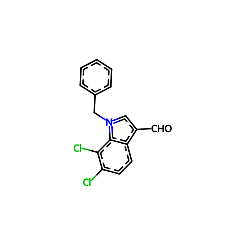 O=Cc1cn(Cc2ccccc2)c2c(Cl)c(Cl)ccc12